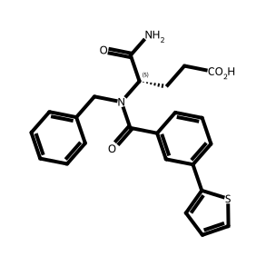 NC(=O)[C@H](CCC(=O)O)N(Cc1ccccc1)C(=O)c1cccc(-c2cccs2)c1